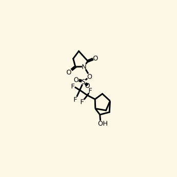 O=C1CCC(=O)N1OS(=O)(=O)C(F)(F)C(F)(F)C1CC2CC(O)C1C2